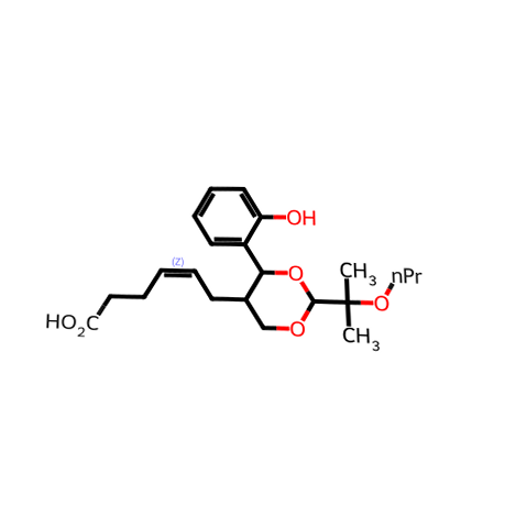 CCCOC(C)(C)C1OCC(C/C=C\CCC(=O)O)C(c2ccccc2O)O1